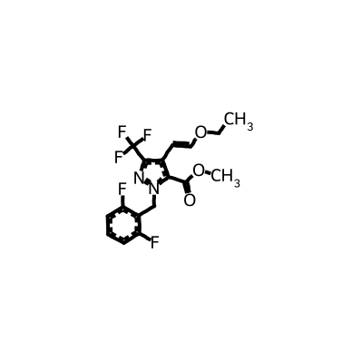 CCOC=Cc1c(C(F)(F)F)nn(Cc2c(F)cccc2F)c1C(=O)OC